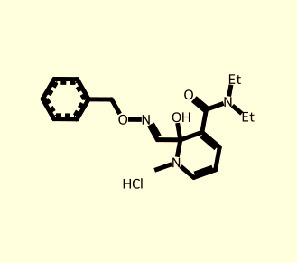 CCN(CC)C(=O)C1=CC=CN(C)C1(O)C=NOCc1ccccc1.Cl